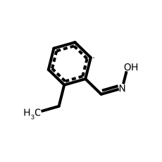 CCc1ccc[c]c1/C=N\O